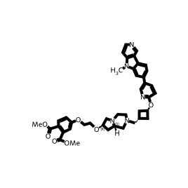 COC(=O)c1ccc(OCCO[C@@H]2C[C@H]3CN(C[C@H]4C[C@H](Oc5ccc(-c6ccc7c8cnccc8n(C)c7c6)cn5)C4)CCN3C2)cc1C(=O)OC